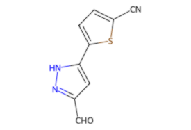 N#Cc1ccc(-c2cc(C=O)n[nH]2)s1